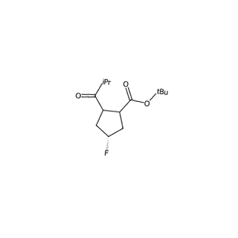 CC(C)C(=O)C1C[C@@H](F)CC1C(=O)OC(C)(C)C